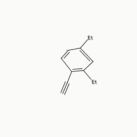 C#Cc1c[c]c(CC)cc1CC